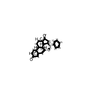 C[C@]12CCC(=O)C=C1C=C[C@@H]1[C@H]2CC[C@]2(C)C(=O)CC([S+]([O-])c3ccccc3)[C@@H]12